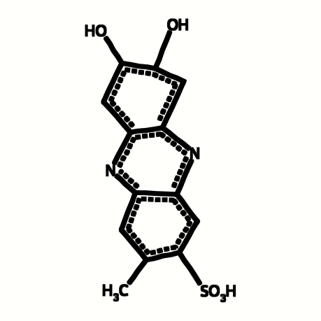 Cc1cc2nc3cc(O)c(O)cc3nc2cc1S(=O)(=O)O